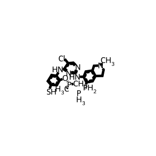 CN1CCc2cc(P)c(Nc3ncc(Cl)c(Nc4ccc(S)cc4OP(C)C)n3)cc2C1.P